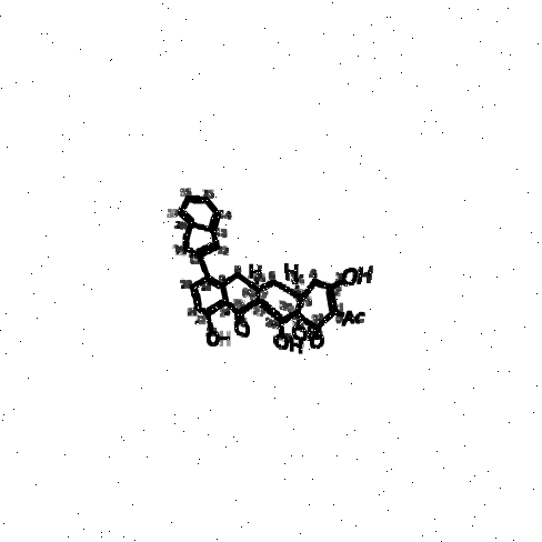 CC(=O)C1=C(O)C[C@@H]2C[C@@H]3Cc4c(C5=Cc6ccccc6C5)ccc(O)c4C(=O)C3=C(O)[C@]2(O)C1=O